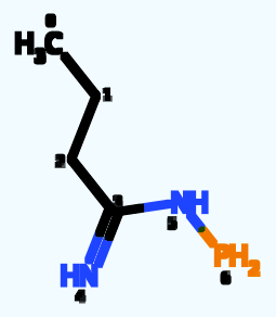 CCCC(=N)NP